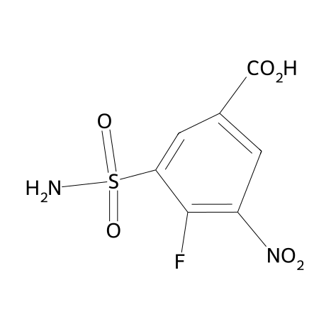 NS(=O)(=O)c1cc(C(=O)O)cc([N+](=O)[O-])c1F